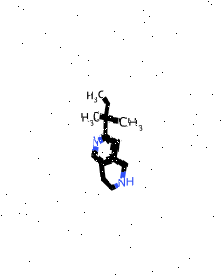 CCC(C)(C)c1cc2c(cn1)CCNC2